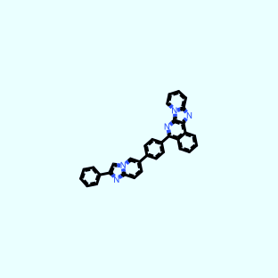 c1ccc(-c2cn3cc(-c4ccc(-c5nc6c(nc7ccccn76)c6ccccc56)cc4)ccc3n2)cc1